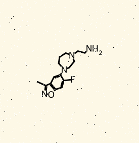 Cc1noc2cc(F)c(N3CCCN(CCN)CC3)cc12